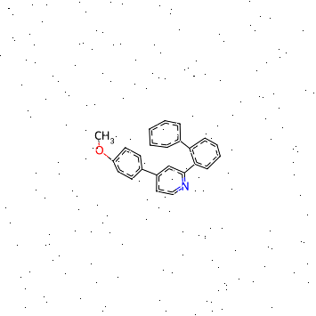 COc1ccc(-c2ccnc(-c3ccccc3-c3ccccc3)c2)cc1